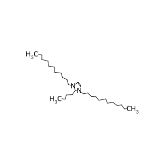 CCCCCCCCCCCCN1C=CN(CCCCCCCCCCC)C1CCCC